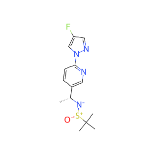 C[C@@H]([N-][S@@+]([O-])C(C)(C)C)c1ccc(-n2cc(F)cn2)nc1